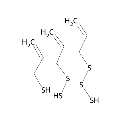 C=CCS.C=CCSS.C=CCSSS